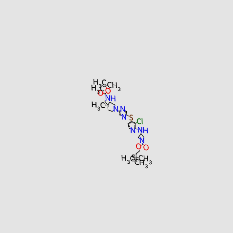 CC1(CNC(=O)OC(C)(C)C)CCN(c2cnc(Sc3ccnc(NC4CN(C(=O)OCC[Si](C)(C)C)C4)c3Cl)cn2)CC1